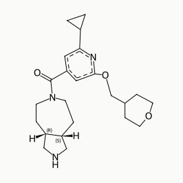 O=C(c1cc(OCC2CCOCC2)nc(C2CC2)c1)N1CC[C@@H]2CNC[C@@H]2CC1